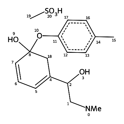 CNCC(O)C1=CC=CC(O)(Oc2ccc(C)cc2)C1.CS(=O)(=O)O